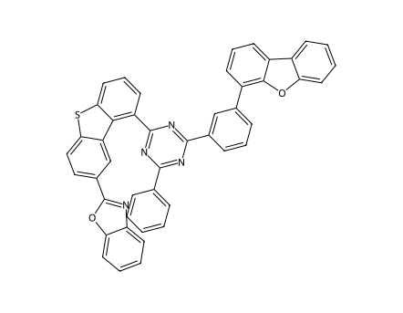 c1ccc(-c2nc(-c3cccc(-c4cccc5c4oc4ccccc45)c3)nc(-c3cccc4sc5ccc(-c6nc7ccccc7o6)cc5c34)n2)cc1